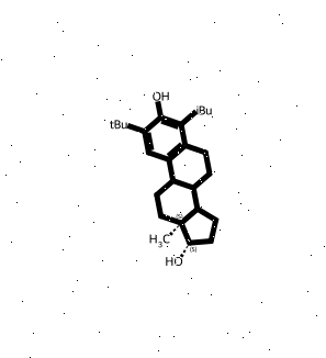 CCC(C)c1c(O)c(C(C)(C)C)cc2c1CCC1C2CC[C@@]2(C)C1CC[C@@H]2O